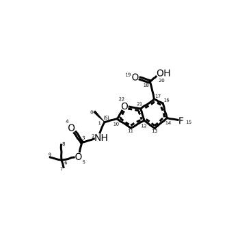 C[C@H](NC(=O)OC(C)(C)C)c1cc2cc(F)cc(C(=O)O)c2o1